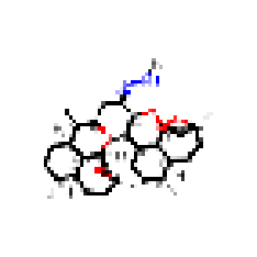 CCN/N=C(/C[C@H]1O[C@@H]2C[C@]3(C)CC[C@H]4[C@H](C)CC[C@@H]([C@H]1C)[C@@]24OO3)[C@H]1O[C@@H]2C[C@]3(C)CC[C@H]4[C@H](C)CC[C@@H]([C@H]1C)[C@@]24OO3